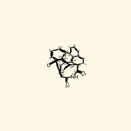 O=C1NC(=O)C23CC=c4cccc5c4c2c2ccc1c1c(ccc5c21)C(=O)NC3=O